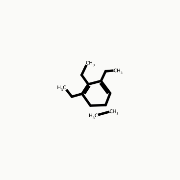 CC.CCC1=CC[CH]C(CC)=C1CC